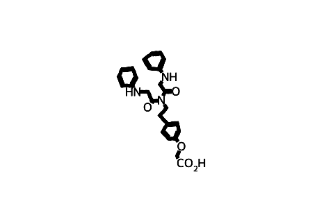 O=C(O)COc1ccc(CCN(C(=O)CNc2ccccc2)C(=O)CNc2ccccc2)cc1